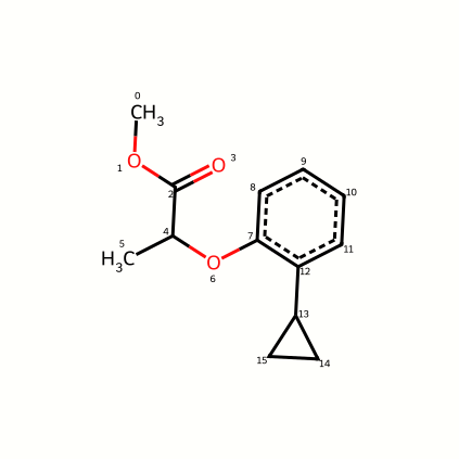 COC(=O)C(C)Oc1ccccc1C1CC1